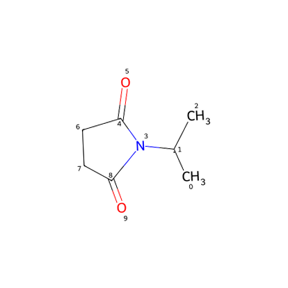 C[C](C)N1C(=O)CCC1=O